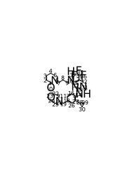 O=C1CCCCN1CCCNc1nc(Nc2ccc(CN3CCOCC3)cc2C2CC2)ncc1C(F)(F)F